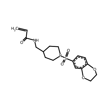 C=CC(=O)NCC1CCN(S(=O)(=O)c2ccc3c(c2)OCCO3)CC1